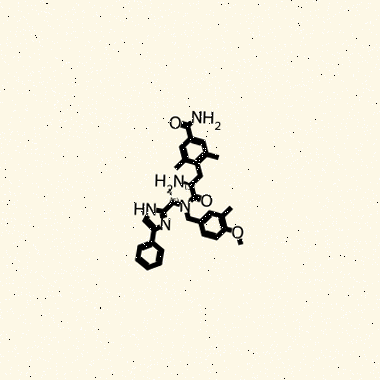 COc1ccc(CN(C(=O)[C@@H](N)Cc2c(C)cc(C(N)=O)cc2C)[C@@H](C)c2nc(-c3ccccc3)c[nH]2)cc1C